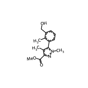 COC(=O)c1nn(C)c(-c2cccc(CO)c2C)c1C